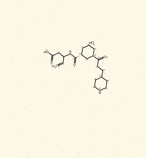 C=CC(CC(=O)O)NC(=O)[C@@H]1CCCN(C(=O)CCC2CCNCC2)C1.Cl